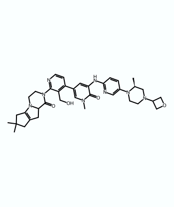 C[C@H]1CN(C2COC2)CCN1c1ccc(Nc2cc(-c3ccnc(N4CCN5C6=C(CC5C4=O)CC(C)(C)C6)c3CO)cn(C)c2=O)nc1